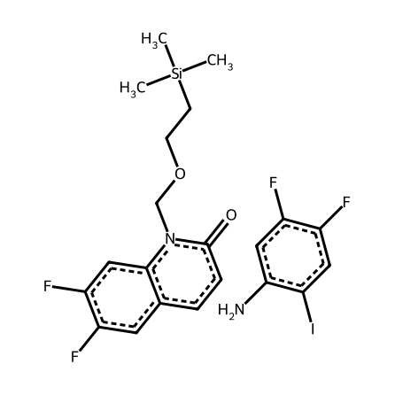 C[Si](C)(C)CCOCn1c(=O)ccc2cc(F)c(F)cc21.Nc1cc(F)c(F)cc1I